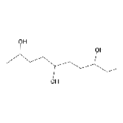 CCC(O)CCC(O)CCC(C)O